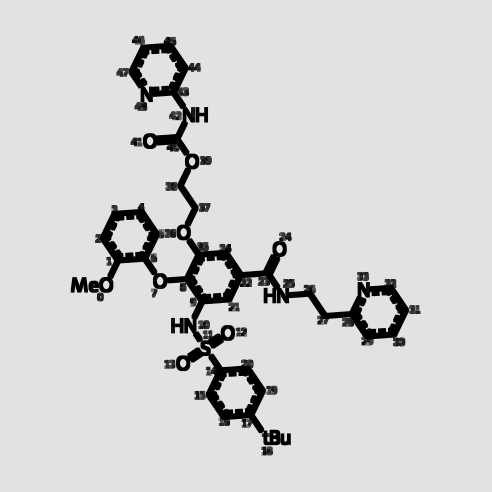 COc1ccccc1Oc1c(NS(=O)(=O)c2ccc(C(C)(C)C)cc2)cc(C(=O)NCCc2ccccn2)cc1OCCOC(=O)Nc1ccccn1